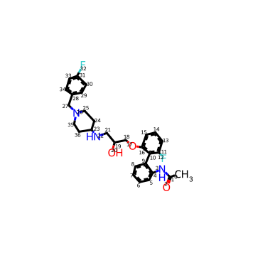 CC(=O)Nc1ccccc1-c1c(F)cccc1OCC(O)CNC1CCN(Cc2ccc(F)cc2)CC1